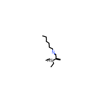 C=C(C=NCCCCCC)[SiH](CC)CC